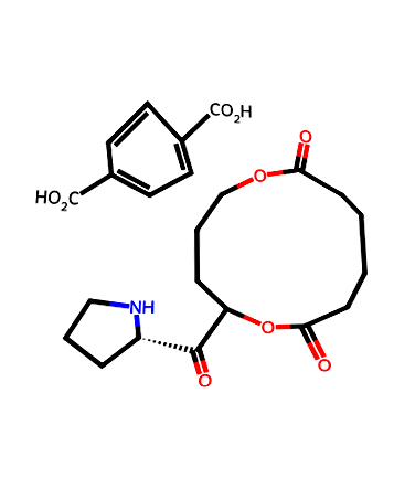 O=C(O)c1ccc(C(=O)O)cc1.O=C1CCCCC(=O)OC(C(=O)[C@@H]2CCCN2)CCCO1